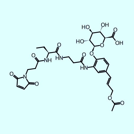 CC[C@H](NC(=O)CCN1C(=O)C=CC1=O)C(=O)NCCC(=O)Nc1cc(/C=C/COC(C)=O)ccc1O[C@@H]1O[C@H](C(=O)O)[C@@H](O)[C@H](O)[C@H]1O